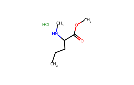 CCCC(NC)C(=O)OC.Cl